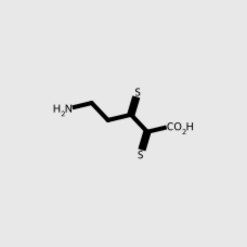 NCCC(=S)C(=S)C(=O)O